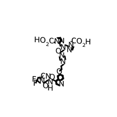 N#C[C@@H]1CC(F)(F)CN1C(=O)CNC(=O)c1ccnc2ccc(OCCCN3CCN(C(=O)CN(Cc4nccn4CC(=O)O)Cc4nccn4CC(=O)O)CC3)cc12